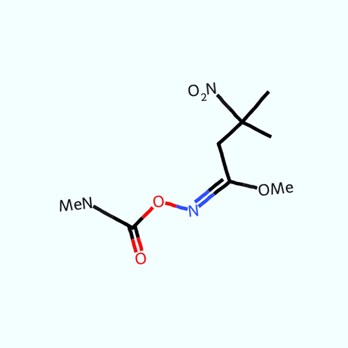 CNC(=O)ON=C(CC(C)(C)[N+](=O)[O-])OC